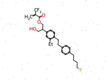 C=C(C(=O)OCC(CO)c1ccc(CCc2ccc(CCCCF)cc2)c(CC)c1)C(F)(F)F